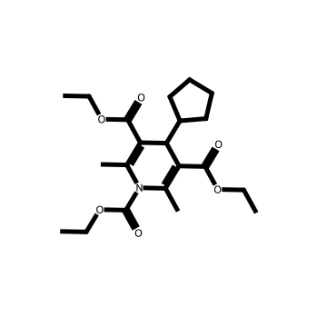 CCOC(=O)C1=C(C)N(C(=O)OCC)C(C)=C(C(=O)OCC)C1C1CCCC1